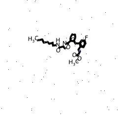 CCCCCCCCNC(=O)C1COC(C2C3CCC(O3)C2Cc2cc(F)ccc2/C=C/C(=O)OC)=N1